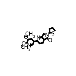 COC1CC(C2CCC3C(=O)N(C4CCCS4)CC3=N2)C=NC1OC